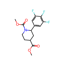 COC(=O)C1CCN(C(=O)OC)C(c2cc(F)c(F)c(F)c2)C1